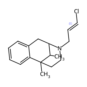 CC1C2Cc3ccccc3C1(C)CCN2C/C=C/Cl